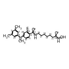 Cc1cc(C)cc(N(C)c2ccc(C(=O)NCCCCCCC(=O)NO)c(F)c2)c1